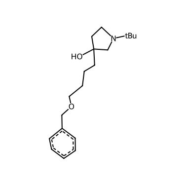 CC(C)(C)N1CCC(O)(CCCCOCc2ccccc2)C1